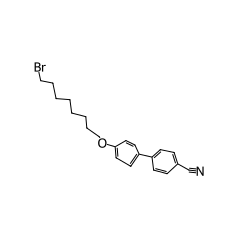 N#Cc1ccc(-c2ccc(OCCCCCCCCBr)cc2)cc1